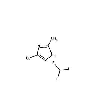 CCc1c[nH]c(C)n1.FC(F)F